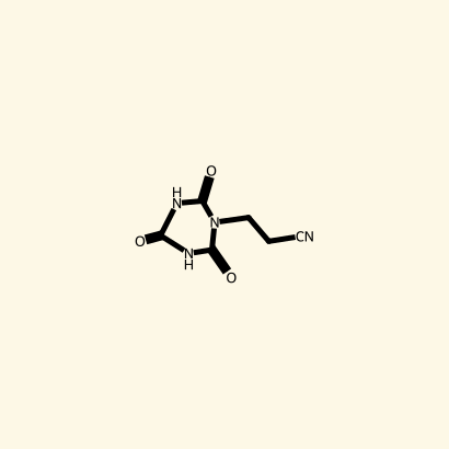 N#CCCn1c(=O)[nH]c(=O)[nH]c1=O